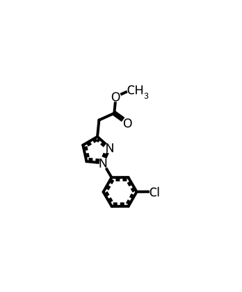 COC(=O)Cc1ccn(-c2cccc(Cl)c2)n1